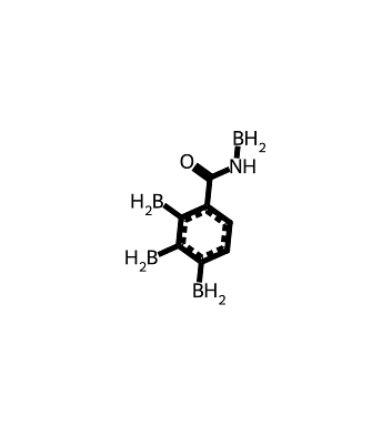 BNC(=O)c1ccc(B)c(B)c1B